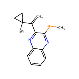 C=C(c1nc2ccccc2nc1PC)C1(CCC)CC1